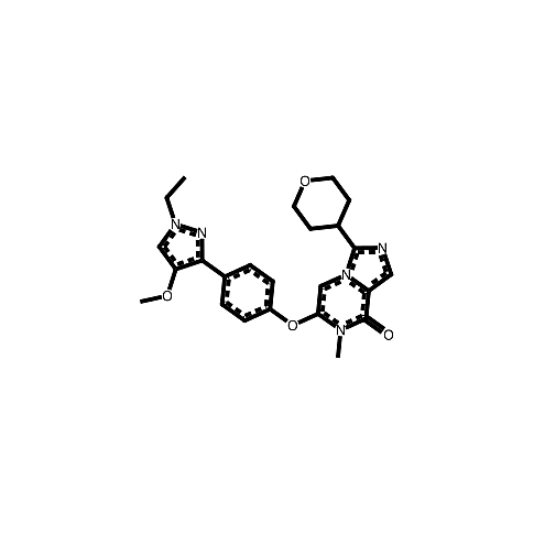 CCn1cc(OC)c(-c2ccc(Oc3cn4c(C5CCOCC5)ncc4c(=O)n3C)cc2)n1